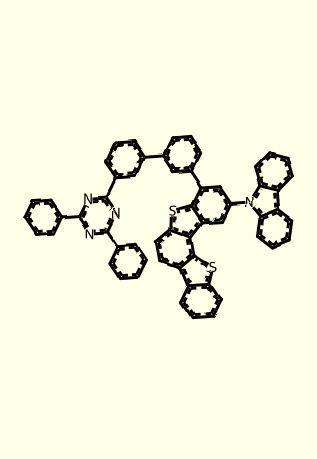 c1ccc(-c2nc(-c3ccccc3)nc(-c3cccc(-c4cccc(-c5cc(-n6c7ccccc7c7ccccc76)cc6c5sc5ccc7c8ccccc8sc7c56)c4)c3)n2)cc1